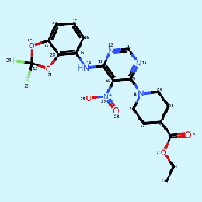 CCOC(=O)C1CCN(c2ncnc(Nc3cccc4c3OC(F)(F)O4)c2[N+](=O)[O-])CC1